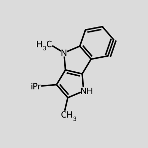 Cc1[nH]c2c3c#cccc3n(C)c2c1C(C)C